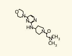 CN(C)CC(=O)N1CCC(Nc2nccc(N3CCOCC3)n2)CC1